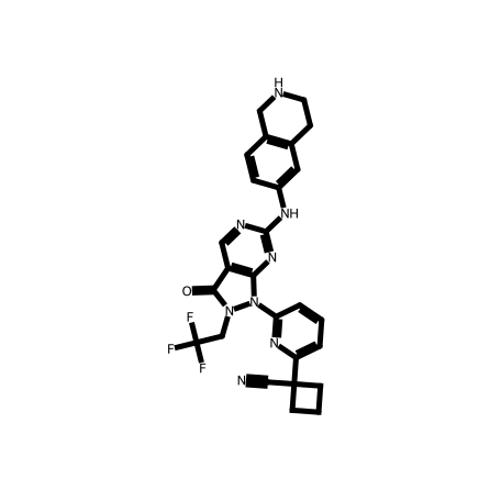 N#CC1(c2cccc(-n3c4nc(Nc5ccc6c(c5)CCNC6)ncc4c(=O)n3CC(F)(F)F)n2)CCC1